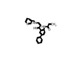 C=CC(=O)Nc1ccc(-c2ccccc2)cc1C(=N)/C=C\NCc1cccnc1